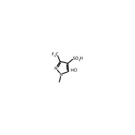 Cl.Cn1cc(S(=O)(=O)O)c(C(F)(F)F)n1